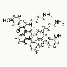 Cc1c(F)cccc1C1C(C(=O)c2cccc(O)c2)CN(CCCCN)CC1C(=O)[C@@H]1CN(CCCCN)C[C@H](C(=O)c2cccc(O)c2)[C@@H]1c1cccc(F)c1C